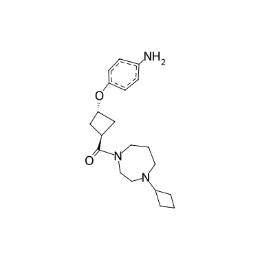 Nc1ccc(O[C@H]2C[C@H](C(=O)N3CCCN(C4CCC4)CC3)C2)cc1